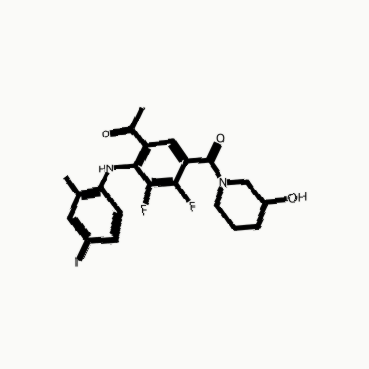 CC(=O)c1cc(C(=O)N2CCCC(O)C2)c(F)c(F)c1Nc1ccc(I)cc1C